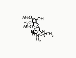 COC(=O)c1c(C)c(OC)cc(O)c1CSCC(c1nc(C)no1)n1nnnc1N